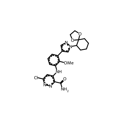 COc1c(Nc2cc(Cl)nnc2C(N)=O)cccc1-c1cnn(C2CCCCC23OCCO3)c1